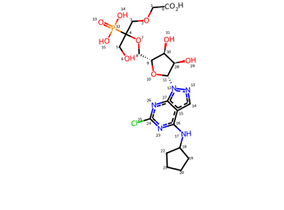 O=C(O)COCC(CO)(OC[C@H]1O[C@@H](n2ncc3c(NC4CCCC4)nc(Cl)nc32)[C@H](O)[C@@H]1O)P(=O)(O)O